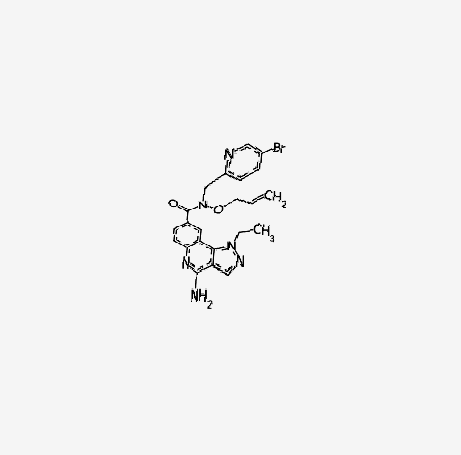 C=CCON(Cc1ccc(Br)cn1)C(=O)c1ccc2nc(N)c3cnn(CC)c3c2c1